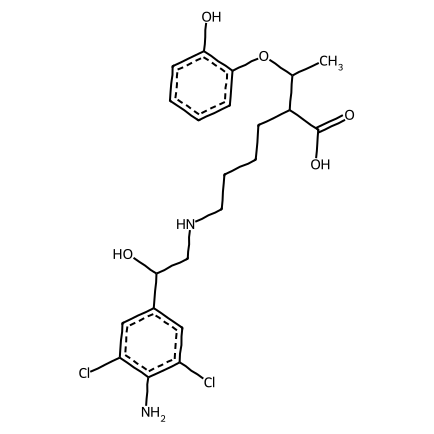 CC(Oc1ccccc1O)C(CCCCNCC(O)c1cc(Cl)c(N)c(Cl)c1)C(=O)O